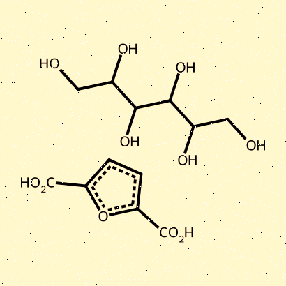 O=C(O)c1ccc(C(=O)O)o1.OCC(O)C(O)C(O)C(O)CO